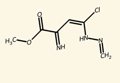 C=NN/C(Cl)=C\C(=N)C(=O)OC